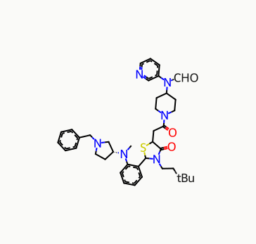 CN(c1ccccc1C1SC(CC(=O)N2CCC(N(C=O)c3cccnc3)CC2)C(=O)N1CCC(C)(C)C)[C@@H]1CCN(Cc2ccccc2)C1